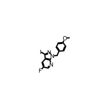 COc1ccc(Cn2nc(I)c3cc(F)cnc32)cc1